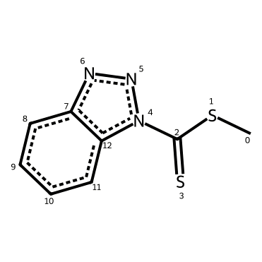 CSC(=S)n1nnc2ccccc21